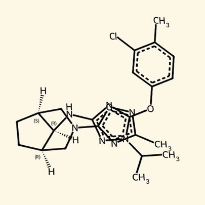 Cc1noc(N2C[C@H]3CC[C@@H](C2)[C@H]3Nc2nc(Oc3ccc(C)c(Cl)c3)n(C(C)C)n2)n1